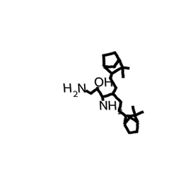 CC1(C)C2CCC(C2)C1CCC(CCC1C2CCC(C2)C1(C)C)C(N)C(O)CN